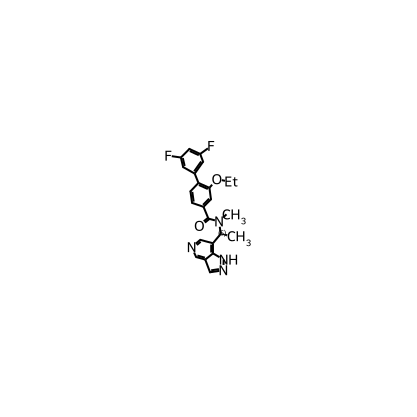 CCOc1cc(C(=O)N(C)[C@@H](C)c2cncc3cn[nH]c23)ccc1-c1cc(F)cc(F)c1